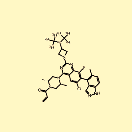 [2H]C([2H])([2H])N(C1CN(c2nc(N3C[C@@H](C)N(C(=O)C=C)C[C@@H]3C)c3cc(Cl)c(-c4c(C)ccc5[nH]ncc45)c(F)c3n2)C1)C([2H])([2H])[2H]